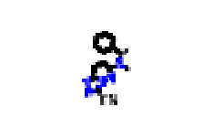 C[C@@H](c1ccccc1)N(C)c1ccc2nnc(C#N)n2n1